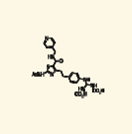 CC(=O)Nc1nc(CCc2ccc(NC(NC(=O)O)NC(=O)O)cc2)c(C(=O)NCc2ccncc2)s1